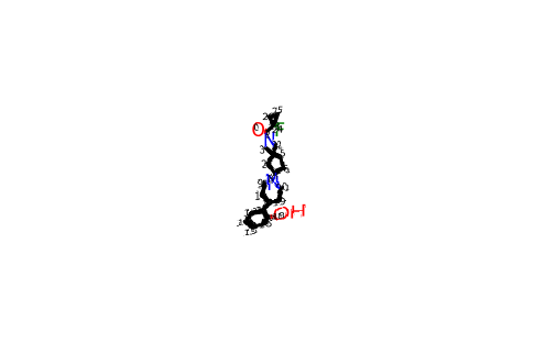 O=C(N1CC2(CC[C@@H](N3CCC(c4ccccc4O)CC3)C2)C1)C1(F)CC1